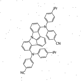 CC(C)c1ccc(N(c2ccc(C#N)cc2)c2cccc3c2c2cccc4c5c(N(c6ccc(C#N)cc6)c6ccc(C(C)C)cc6)cccc5n3c24)cc1